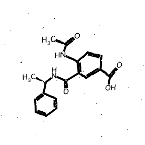 CC(=O)Nc1ccc(C(=O)O)cc1C(=O)N[C@H](C)c1ccccc1